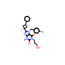 Cn1c(=O)n(CCCO)c(=O)c2c1nc(C1(F)CC(c3ccccc3)C1)n2Cc1ccc(Cl)cc1